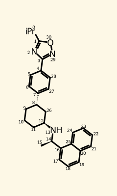 CC(C)c1nc(-c2ccc([C@H]3CCC[C@H](N[C@H](C)c4cccc5ccccc45)C3)cc2)no1